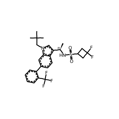 C[C@@H](NS(=O)(=O)C1CC(F)(F)C1)c1cn(CC(C)(C)C)c2cc(-c3ccccc3C(F)(F)F)ccc12